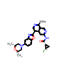 CNc1ncc(-c2nc3cc(N4C[C@@H](C)O[C@@H](C)C4)ccc3o2)c2cc(NC(=O)[C@@H]3C[C@@H]3F)ncc12